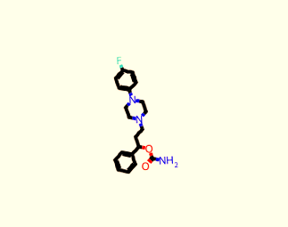 NC(=O)OC(CCN1CCN(c2ccc(F)cc2)CC1)c1ccccc1